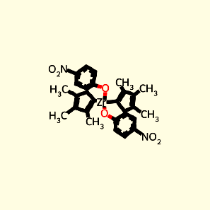 CC1=C(C)C(C)=[C]([Zr]([O]c2ccc([N+](=O)[O-])cc2)([O]c2ccc([N+](=O)[O-])cc2)[C]2=C(C)C(C)=C(C)C2)C1